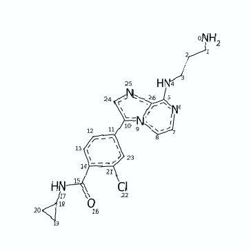 NCCCNc1nccn2c(-c3ccc(C(=O)NC4CC4)c(Cl)c3)cnc12